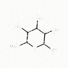 CCCC1OC(OC)C(O)C(O)C1O